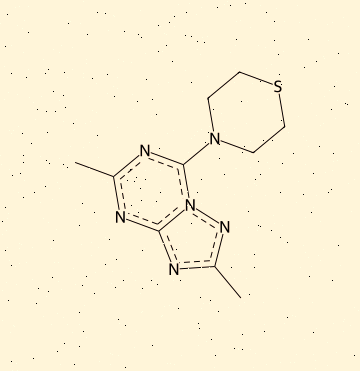 Cc1nc(N2CCSCC2)n2nc(C)nc2n1